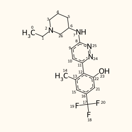 CCN1CCCC(Nc2ccc(-c3c(C)cc(C(F)(F)F)cc3O)nn2)C1